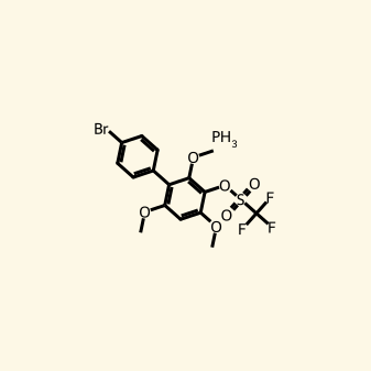 COc1cc(OC)c(-c2ccc(Br)cc2)c(OC)c1OS(=O)(=O)C(F)(F)F.P